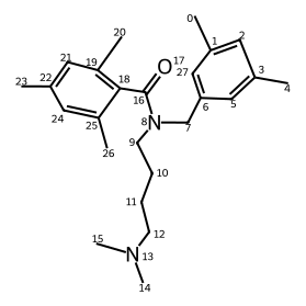 Cc1cc(C)cc(CN(CCCCN(C)C)C(=O)c2c(C)cc(C)cc2C)c1